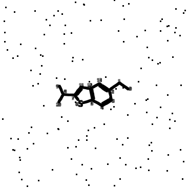 CCc1ccc2sc(C(C)C)cc2c1